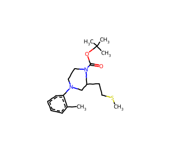 CSCCC1CN(c2ccccc2C)CCN1C(=O)OC(C)(C)C